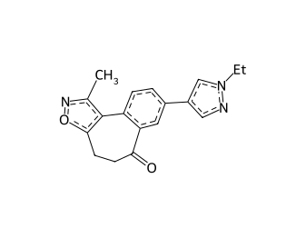 CCn1cc(-c2ccc3c(c2)C(=O)CCc2onc(C)c2-3)cn1